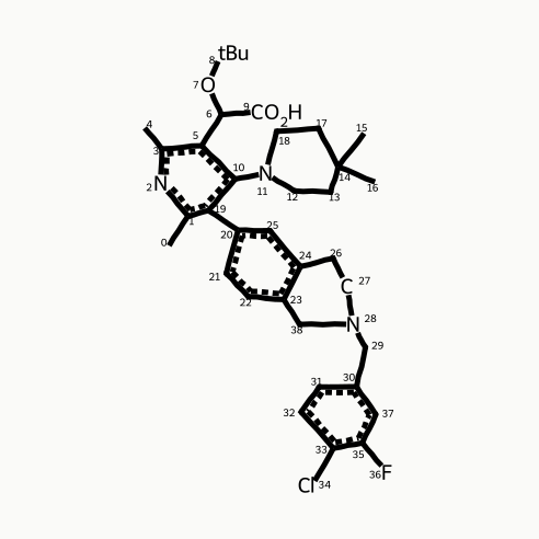 Cc1nc(C)c(C(OC(C)(C)C)C(=O)O)c(N2CCC(C)(C)CC2)c1-c1ccc2c(c1)CCN(Cc1ccc(Cl)c(F)c1)C2